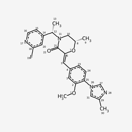 COc1cc(C=C2O[C@@H](C)CN([C@@H](C)c3ccnc(F)c3)C2=O)ccc1-n1cnc(C)c1